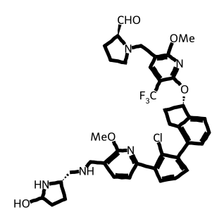 COc1nc(-c2cccc(-c3cccc4c3CC[C@@H]4Oc3nc(OC)c(CN4CCC[C@H]4C=O)cc3C(F)(F)F)c2Cl)ccc1CNC[C@@H]1CCC(O)N1